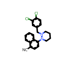 N#Cc1ccc(N2CCCCN2Cc2ccc(Cl)c(Cl)c2)c2ccccc12